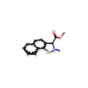 COC(=O)C1c2ccc3ccccc3c2SN1C